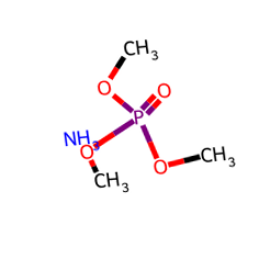 COP(=O)(OC)OC.N